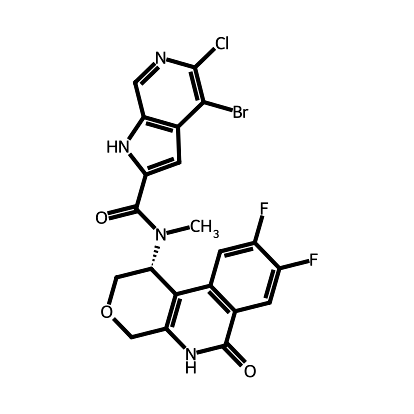 CN(C(=O)c1cc2c(Br)c(Cl)ncc2[nH]1)[C@H]1COCc2[nH]c(=O)c3cc(F)c(F)cc3c21